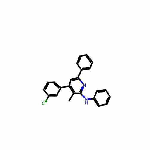 Cc1c(-c2cccc(Cl)c2)cc(-c2ccccc2)nc1Nc1ccccc1